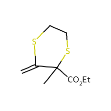 C=C1SCCSC1(C)C(=O)OCC